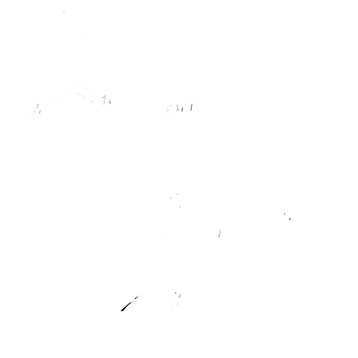 Cc1ncc(C)c(N[C@@H](C)c2ccc(C(O)O/N=C(\N)C3CC3)cc2)n1